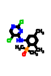 Cc1cc(C)c(P(C)(C)=O)c(Nc2nc(Cl)ncc2Cl)c1